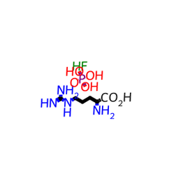 F.N=C(N)NCCCC(N)C(=O)O.O=P(O)(O)O